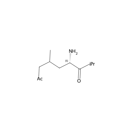 CC(=O)CC(C)C[C@H](N)C(=O)C(C)C